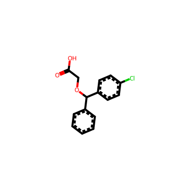 O=C(O)COC(c1ccccc1)c1ccc(Cl)cc1